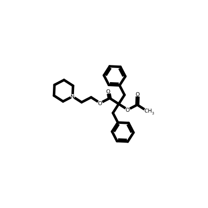 CC(=O)OC(Cc1ccccc1)(Cc1ccccc1)C(=O)OCCN1CCCCC1